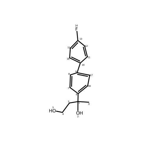 CC(O)(CCO)c1ccc(-c2ccc(F)cc2)cc1